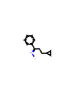 I/N=C(\CCC1CC1)c1ccccc1